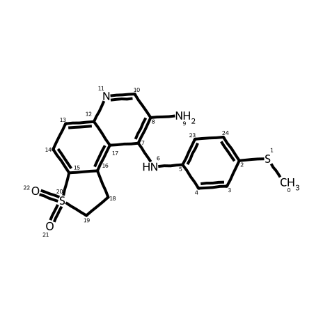 CSc1ccc(Nc2c(N)cnc3ccc4c(c23)CCS4(=O)=O)cc1